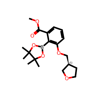 COC(=O)c1cccc(OC[C@H]2CCOC2)c1B1OC(C)(C)C(C)(C)O1